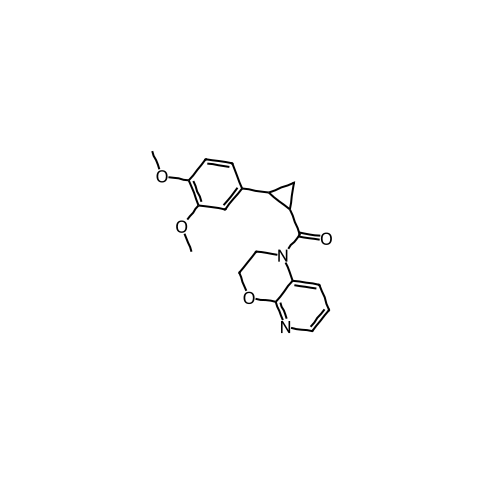 COc1ccc(C2CC2C(=O)N2CCOc3ncccc32)cc1OC